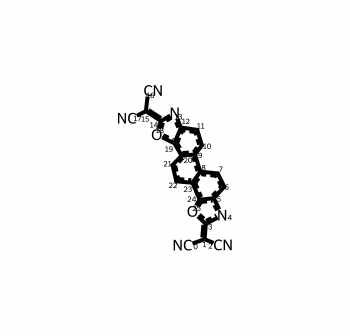 N#CC(C#N)=c1nc2ccc3c4ccc5nc(=C(C#N)C#N)oc5c4ccc3c2o1